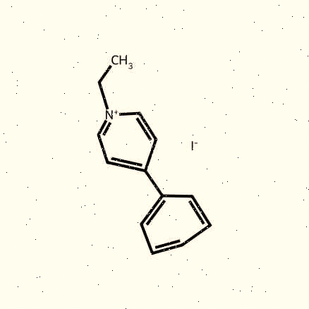 CC[n+]1ccc(-c2ccccc2)cc1.[I-]